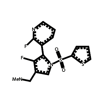 CNCc1cn(S(=O)(=O)c2cccs2)c(-c2cccnc2F)c1F